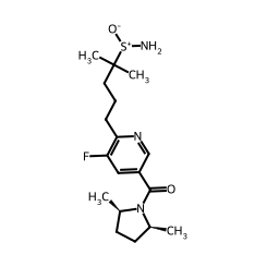 C[C@@H]1CC[C@H](C)N1C(=O)c1cnc(CCCC(C)(C)[S+](N)[O-])c(F)c1